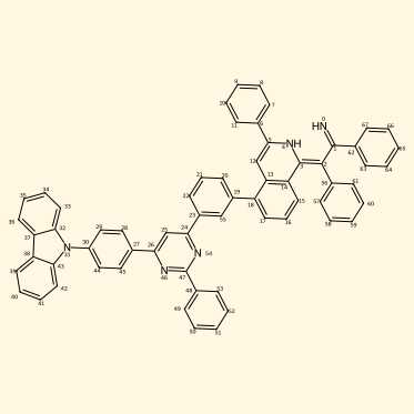 N=C(/C(=C1\NC(c2ccccc2)=Cc2c1cccc2-c1cccc(-c2cc(-c3ccc(-n4c5ccccc5c5ccccc54)cc3)nc(-c3ccccc3)n2)c1)c1ccccc1)c1ccccc1